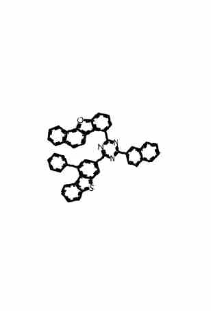 c1ccc(-c2cc(-c3nc(-c4ccc5ccccc5c4)nc(-c4cccc5oc6c7ccccc7ccc6c45)n3)cc3sc4ccccc4c23)cc1